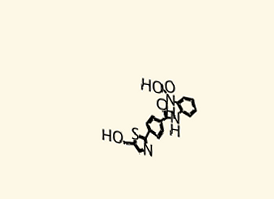 O=C(O)Nc1ccccc1NC(=O)c1ccc(-c2ncc(CO)s2)cc1